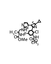 COC(=O)N[C@@H](C)CNc1nccc(-c2sc(C3CC3)nc2-c2cc(F)cc(NS(C)(=O)=O)c2Cl)n1